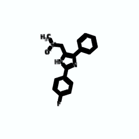 C[S+]([O-])Cc1[nH]c(-c2ccc(F)cc2)nc1-c1ccccc1